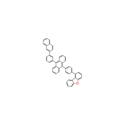 c1cc(-c2ccc3ccccc3c2)cc(-c2c3ccccc3c(-c3ccc(-c4cccc5oc6ccccc6c45)cc3)c3ccccc23)c1